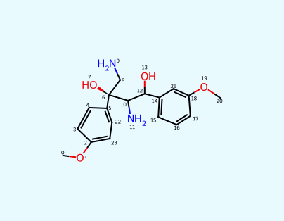 COc1ccc([C@](O)(CN)C(N)C(O)c2cccc(OC)c2)cc1